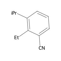 [CH2]C(C)c1cccc(C#N)c1CC